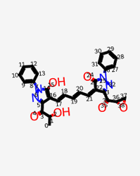 CC(O)C(=O)c1nn(-c2ccccc2)c(O)c1/C=C/C=C/C=C1\C(=O)N(c2ccccc2)N=C1C(=O)C1CO1